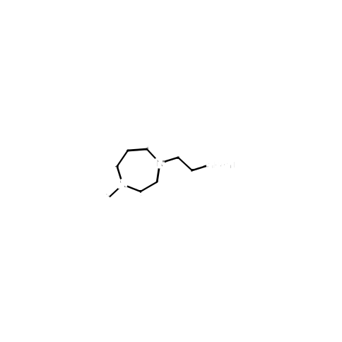 CCCCCCCN1CCCN(C)CC1